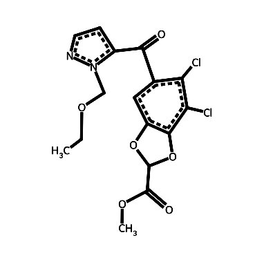 CCOCn1nccc1C(=O)c1cc2c(c(Cl)c1Cl)OC(C(=O)OC)O2